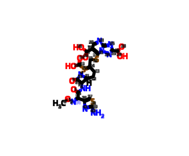 CO/N=C(\C(=O)N[C@H]1C(=O)N2[C@@H]1CCC(CSc1c(C(=O)O)cnc3nc(C(=O)O)nn13)=S2C(=O)O)c1csc(N)n1